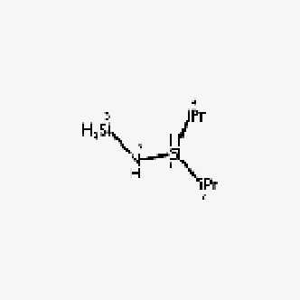 CC(C)[SiH](N[SiH3])C(C)C